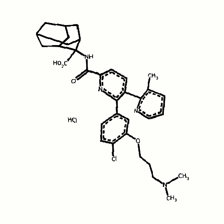 Cc1cccnc1-c1ccc(C(=O)NC2(C(=O)O)C3CC4CC(C3)CC2C4)nc1-c1ccc(Cl)c(OCCCN(C)C)c1.Cl